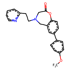 O=C1CN(CCc2ccccn2)Cc2cc(-c3ccc(OC(F)(F)F)cc3)ccc2O1